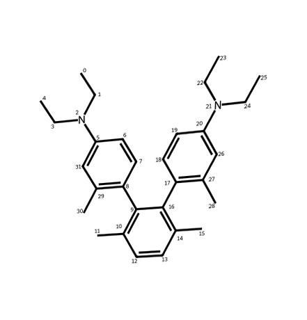 CCN(CC)c1ccc(-c2c(C)ccc(C)c2-c2ccc(N(CC)CC)cc2C)c(C)c1